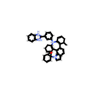 CC1CC=CC2=C1c1ccc3ccn(C45C=CC=CC4C5)c3c1C1=C(CCC=C1)N2c1cccc(C2Nc3ccccc3N2)c1